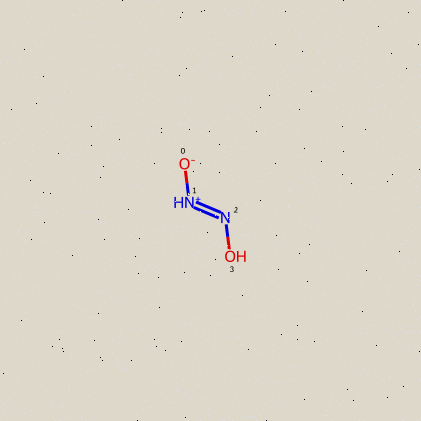 [O-][NH+]=NO